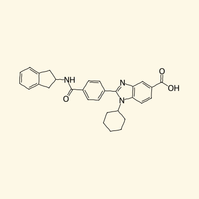 O=C(O)c1ccc2c(c1)nc(-c1ccc(C(=O)NC3Cc4ccccc4C3)cc1)n2C1CCCCC1